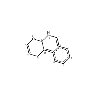 C1=COC2PC=c3ccccc3=C2C1